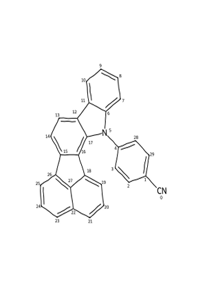 N#Cc1ccc(-n2c3ccccc3c3ccc4c(c32)-c2cccc3cccc-4c23)cc1